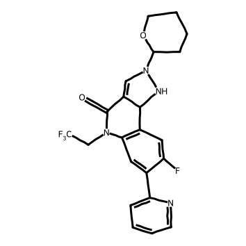 O=C1C2=CN(C3CCCCO3)NC2c2cc(F)c(-c3ccccn3)cc2N1CC(F)(F)F